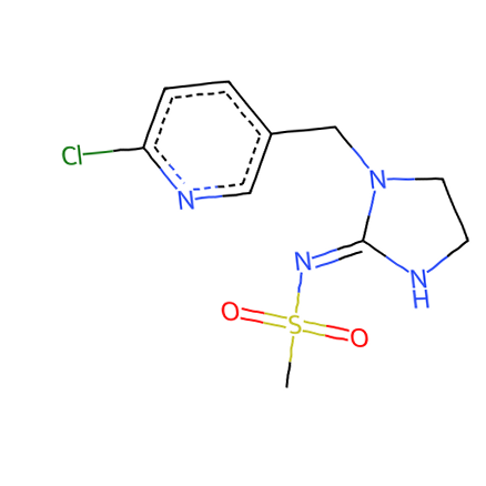 CS(=O)(=O)N=C1NCCN1Cc1ccc(Cl)nc1